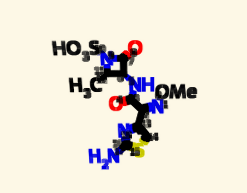 CO/N=C(\C(=O)N[C@@H]1C(=O)N(S(=O)(=O)O)[C@@H]1C)c1csc(N)n1